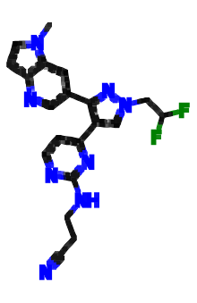 Cn1ccc2ncc(-c3nn(CC(F)F)cc3-c3ccnc(NCCC#N)n3)cc21